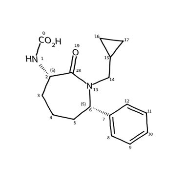 O=C(O)N[C@H]1CCC[C@@H](c2ccccc2)N(CC2CC2)C1=O